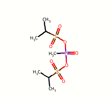 CC(C)S(=O)(=O)OP(C)(=O)OS(=O)(=O)C(C)C